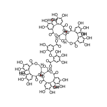 O=C(O[C@H]1O[C@@H]2COC(=O)c3cc(O)c(O)c(O)c3-c3c(cc(O)c(O)c3O)C(=O)O[C@H]2[C@@H]2OC(=O)c3cc(O)c(O)c(O)c3-c3c(cc(O)c(O)c3O)C(=O)O[C@@H]12)c1cc(O)c(O)c(Oc2c(C(=O)O[C@H]3O[C@@H]4COC(=O)c5cc(O)c(O)c(O)c5-c5c(cc(O)c(O)c5O)C(=O)O[C@H]4[C@@H]4OC(=O)c5cc(O)c(O)c(O)c5-c5c(cc(O)c(O)c5O)C(=O)O[C@@H]34)cc(O)c(O)c2O)c1